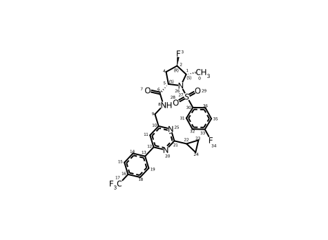 C[C@H]1[C@H](F)C[C@@H](C(=O)NCc2cc(-c3ccc(C(F)(F)F)cc3)nc(C3CC3)n2)N1S(=O)(=O)c1ccc(F)cc1